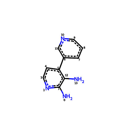 Nc1nccc(-c2cccnc2)c1N